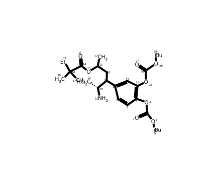 CCC(C)OC(=O)Oc1ccc(C(CC(C)OC(=O)C(C)(C)CC)[C@H](N)C(=O)O)cc1OC(=O)OC(C)CC